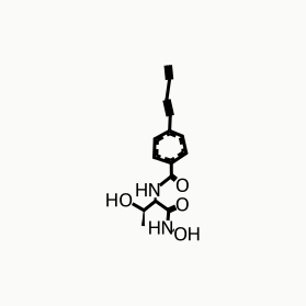 C#CC#Cc1ccc(C(=O)N[C@H](C(=O)NO)[C@@H](C)O)cc1